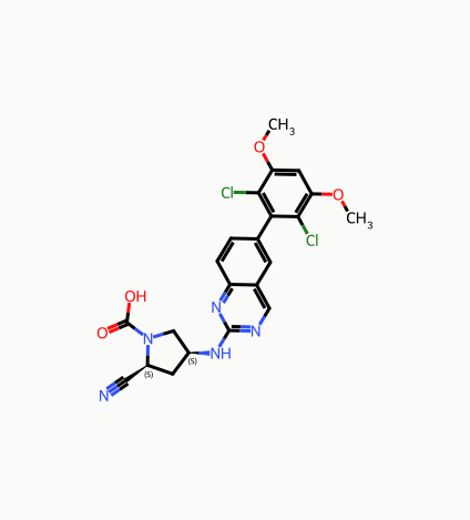 COc1cc(OC)c(Cl)c(-c2ccc3nc(N[C@H]4C[C@@H](C#N)N(C(=O)O)C4)ncc3c2)c1Cl